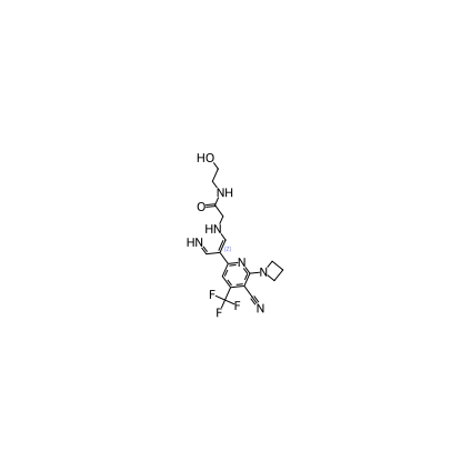 N#Cc1c(C(F)(F)F)cc(/C(C=N)=C/NCC(=O)NCCO)nc1N1CCC1